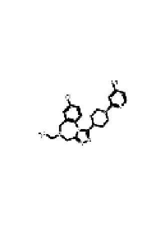 N#Cc1ccnc(N2CCC(c3nnc4n3-c3ccc(Cl)cc3CN(CC(F)(F)F)C4)CC2)c1